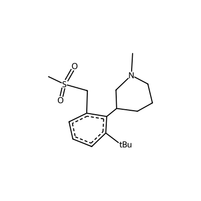 CN1CCCC(c2c(CS(C)(=O)=O)cccc2C(C)(C)C)C1